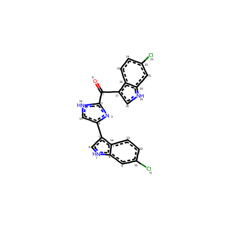 O=C(c1nc(-c2c[nH]c3cc(Cl)ccc23)c[nH]1)c1c[nH]c2cc(Cl)ccc12